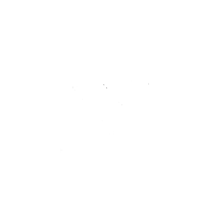 O=C1c2ccc(F)cc2C(=O)c2sc(-c3ccco3)nc21